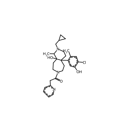 Cc1cc(Cl)c(O)cc1C12CCN(C(=O)Cc3ccccn3)CCC1(O)C(C)N(CC1CC1)CC2